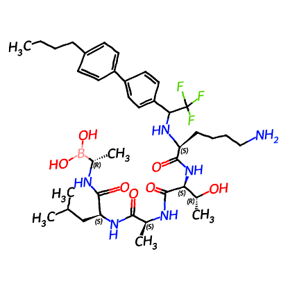 CCCCc1ccc(-c2ccc(C(N[C@@H](CCCCN)C(=O)N[C@H](C(=O)N[C@@H](C)C(=O)N[C@@H](CC(C)C)C(=O)N[C@@H](C)B(O)O)[C@@H](C)O)C(F)(F)F)cc2)cc1